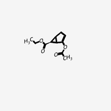 CCOC(=O)[C@H]1C2CC=C(OC(C)=O)C21